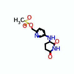 CS(=O)(=O)OCc1ccc(NC2CCC(=O)NC2=O)cn1